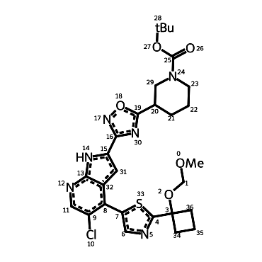 COCOC1(c2ncc(-c3c(Cl)cnc4[nH]c(-c5noc(C6CCCN(C(=O)OC(C)(C)C)C6)n5)cc34)s2)CCC1